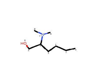 CCCCC(CO)N(C)C